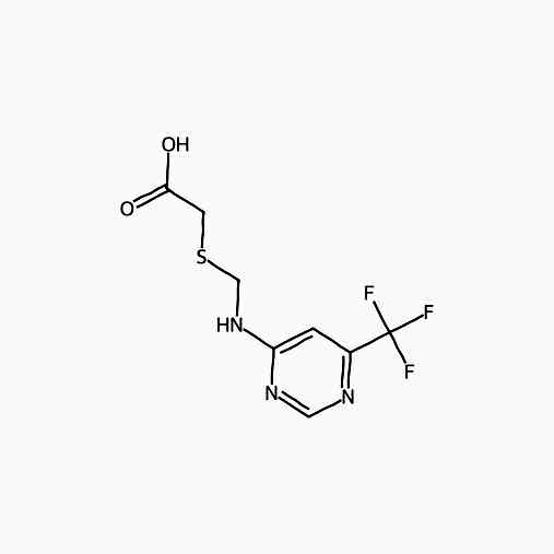 O=C(O)CSCNc1cc(C(F)(F)F)ncn1